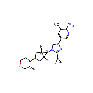 C[C@H]1COCCN1C1C[C@@H]2[C@@H](n3cc(-c4cnc(N)c(C(F)(F)F)c4)nc3C3CC3)C2(C)C1